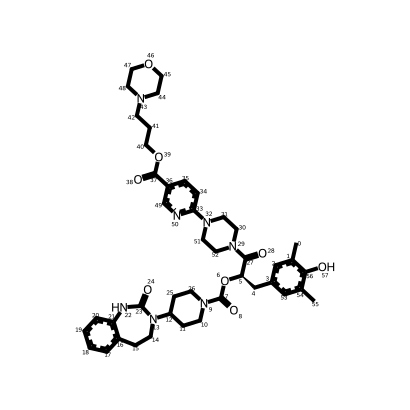 Cc1cc(C[C@@H](OC(=O)N2CCC(N3CCc4ccccc4NC3=O)CC2)C(=O)N2CCN(c3ccc(C(=O)OCCCN4CCOCC4)cn3)CC2)cc(C)c1O